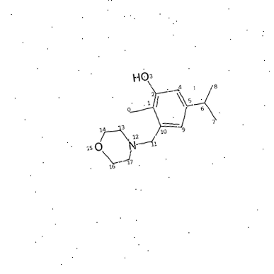 Cc1c(O)cc(C(C)C)cc1CN1CCOCC1